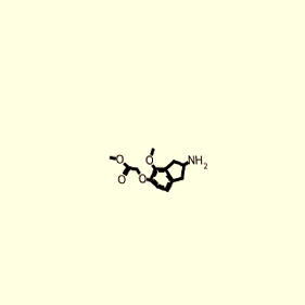 COC(=O)COc1ccc2c(c1OC)CC(N)C2